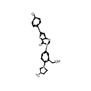 O=c1c2sc(-c3ccc(Cl)cc3)cc2ncn1-c1ccc(N2CC[C@@H](O)C2)c(CO)c1